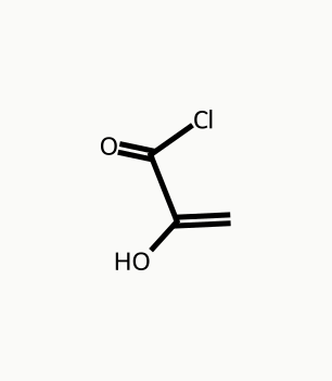 C=C(O)C(=O)Cl